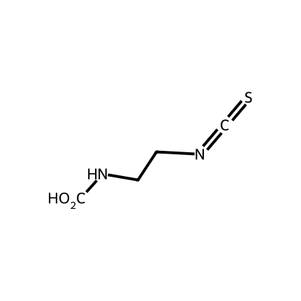 O=C(O)NCCN=C=S